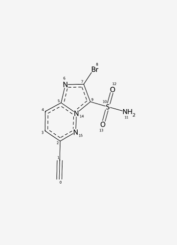 C#Cc1ccc2nc(Br)c(S(N)(=O)=O)n2n1